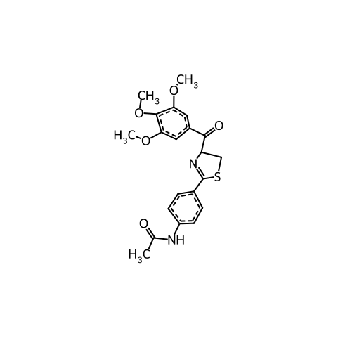 COc1cc(C(=O)C2CSC(c3ccc(NC(C)=O)cc3)=N2)cc(OC)c1OC